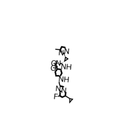 Cc1ccnc([C@H]2C[C@@H]2C2=NS(=O)(=O)c3ccc(NCc4cn5cc(C6CC6)cc(F)c5n4)cc3N2)n1